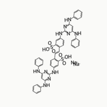 O=S(=O)(O)c1cc(Nc2nc(Nc3ccccc3)cc(Nc3ccccc3)n2)ccc1C=Cc1ccc(Nc2nc(Nc3ccccc3)cc(Nc3ccccc3)n2)cc1S(=O)(=O)O.[Na].[Na]